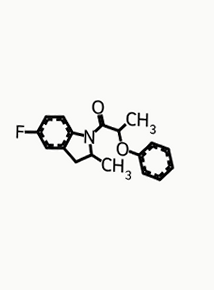 CC(Oc1ccccc1)C(=O)N1c2ccc(F)cc2CC1C